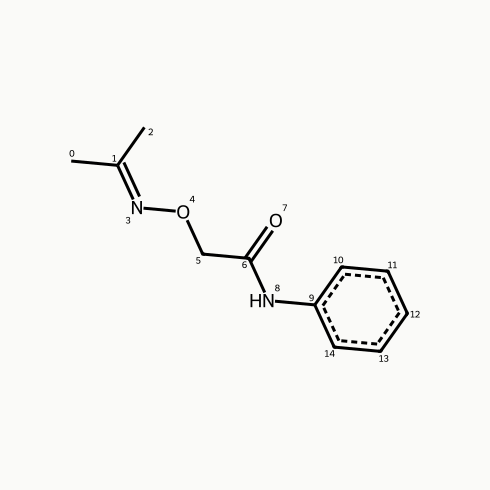 CC(C)=NOCC(=O)Nc1ccccc1